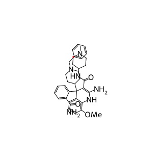 COc1cccc2c1NC(N)=C(C(=O)NC1CCN(C)CC1)C2(c1ccccc1C(N)=O)C1CCN(Cc2ccccc2)CC1